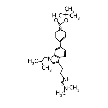 CC(C)Cn1cc(CCNSN(C)C)c2ccc(C3=CCN(C(=O)OC(C)(C)C)CC3)cc21